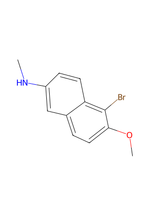 CNc1ccc2c(Br)c(OC)ccc2c1